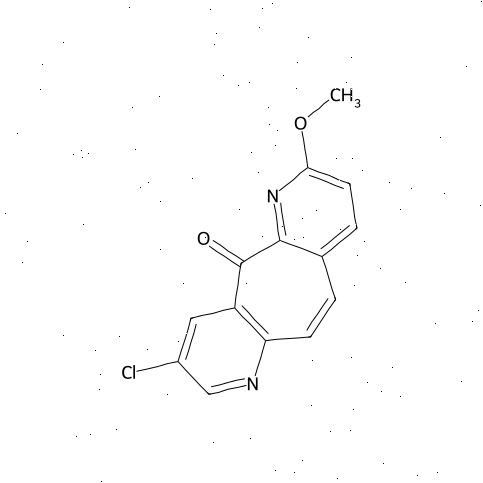 COc1ccc2ccc3ncc(Cl)cc3c(=O)c2n1